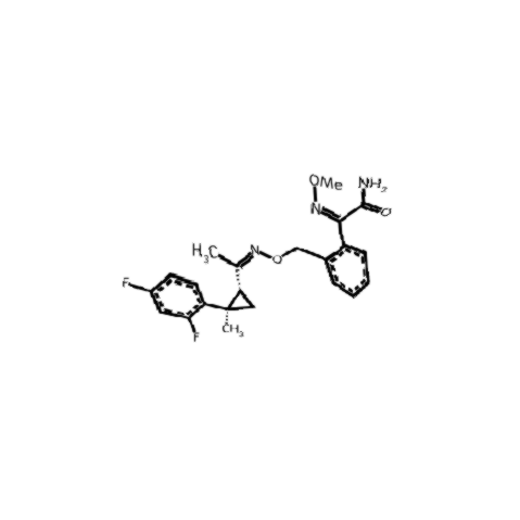 CON=C(C(N)=O)c1ccccc1CON=C(C)[C@@H]1C[C@@]1(C)c1ccc(F)cc1F